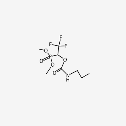 CCCNC(=O)OC(C(F)(F)F)P(=O)(OC)OC